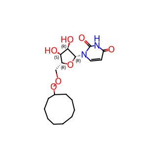 O=c1ccn([C@@H]2O[C@H](COOC3CCCCCCCCC3)[C@@H](O)[C@H]2O)c(=O)[nH]1